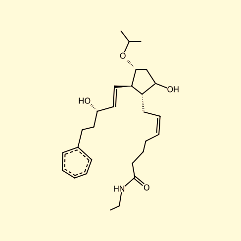 CCNC(=O)CCC/C=C\C[C@H]1C(O)C[C@@H](OC(C)C)[C@@H]1/C=C/[C@@H](O)CCc1ccccc1